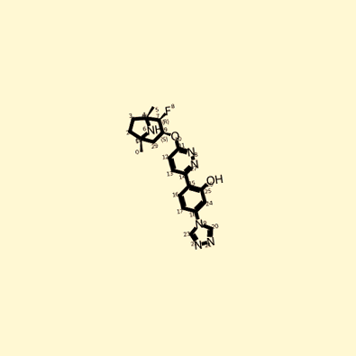 C[C@@]12CC[C@@](C)(N1)[C@@H](F)[C@@H](Oc1ccc(-c3ccc(-n4cnnc4)cc3O)nn1)C2